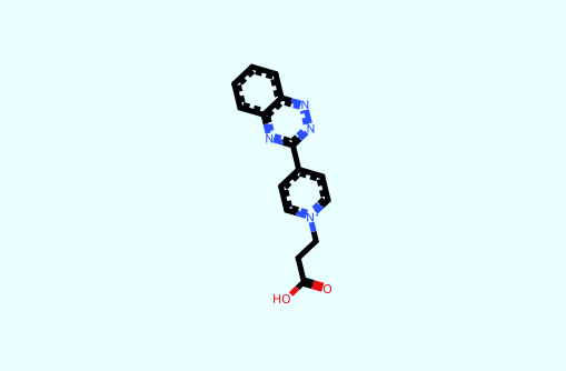 O=C(O)CC[n+]1ccc(-c2nnc3ccccc3n2)cc1